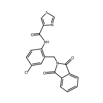 O=C(Nc1ccc(Cl)cc1CN1C(=O)c2ccccc2C1=O)c1cscn1